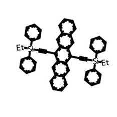 CC[Si](C#Cc1c2cc3ccccc3cc2c(C#C[Si](CC)(c2ccccc2)c2ccccc2)c2cc3ccccc3cc12)(c1ccccc1)c1ccccc1